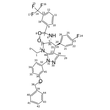 CCN1C(=O)[C@H](NC(=O)c2cccc(C(F)(F)F)c2)[C@@H](c2ccc(F)cc2)c2c(C)nn(-c3cccc(OCc4ccccc4)c3)c21